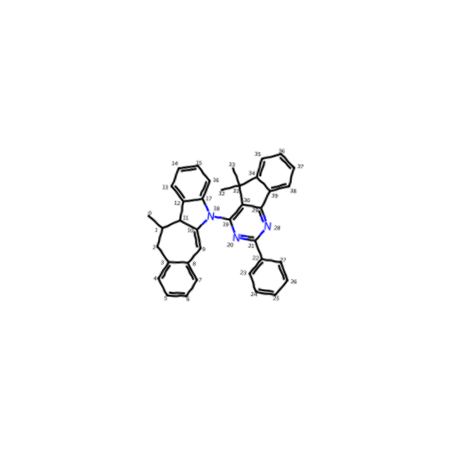 CC1Cc2ccccc2C=C2C1c1ccccc1N2c1nc(-c2ccccc2)nc2c1C(C)(C)c1ccccc1-2